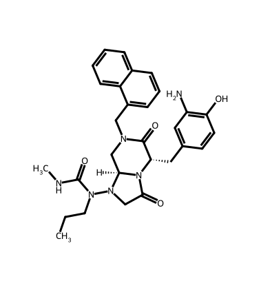 CCCN(C(=O)NC)N1CC(=O)N2[C@@H](Cc3ccc(O)c(N)c3)C(=O)N(Cc3cccc4ccccc34)C[C@@H]21